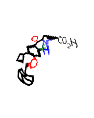 O=C(O)C1CCC(C(=O)c2cc(C3CCC3)c(OCC34CC5CC(CC(C5)C3)C4)cc2F)N1